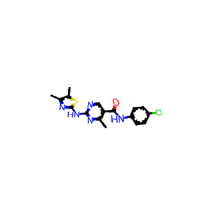 Cc1nc(Nc2nc(C)c(C)s2)ncc1C(=O)Nc1ccc(Cl)cc1